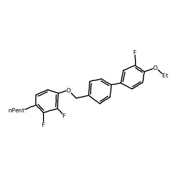 CCCCCc1ccc(OCc2ccc(-c3ccc(OCC)c(F)c3)cc2)c(F)c1F